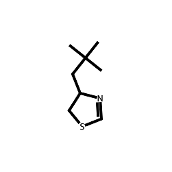 CC(C)(C)CC1CSC=N1